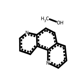 CO.c1cnc2c(c1)ccc1ncccc12